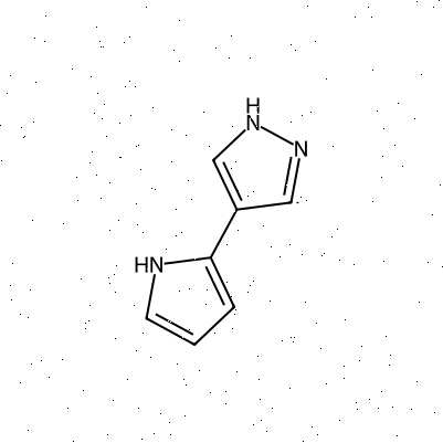 [c]1n[nH]cc1-c1ccc[nH]1